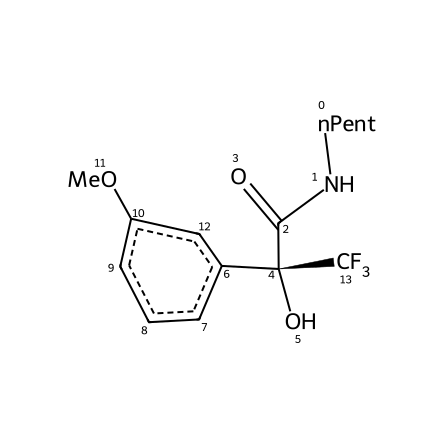 CCCCCNC(=O)[C@](O)(c1cccc(OC)c1)C(F)(F)F